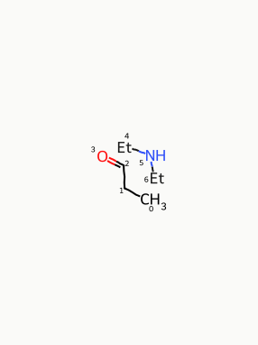 CCC=O.CCNCC